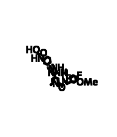 COc1cc(CNC(=O)c2cc(/C(N)=N/N(N)C[C@H]3CCC[C@@H](NC(=O)CO)C3)cc(C)n2)ccc1F